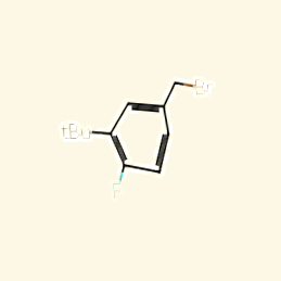 CC(C)(C)c1cc(CBr)ccc1F